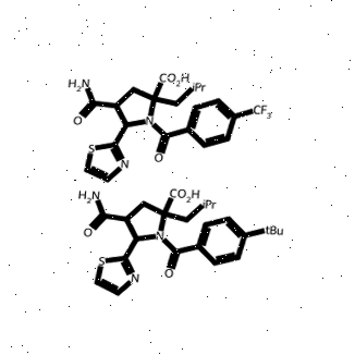 CC(C)CC1(C(=O)O)CC(C(N)=O)C(c2nccs2)N1C(=O)c1ccc(C(C)(C)C)cc1.CC(C)CC1(C(=O)O)CC(C(N)=O)C(c2nccs2)N1C(=O)c1ccc(C(F)(F)F)cc1